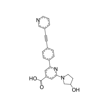 O=C(O)c1cc(-c2ccc(C#Cc3cccnc3)cc2)nc(N2CCC(O)C2)c1